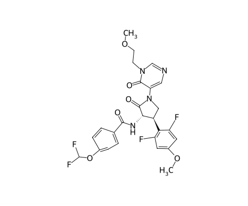 COCCn1cncc(N2C[C@@H](c3c(F)cc(OC)cc3F)[C@H](NC(=O)c3ccc(OC(F)F)cc3)C2=O)c1=O